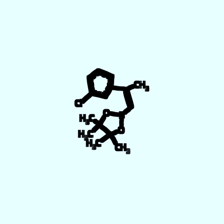 C/C(=C/B1OC(C)(C)C(C)(C)O1)c1cccc(Cl)c1